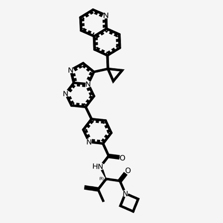 C=C(C)[C@@H](NC(=O)c1ccc(-c2cnc3ncc(C4(c5ccc6ncccc6c5)CC4)n3c2)cn1)C(=O)N1CCC1